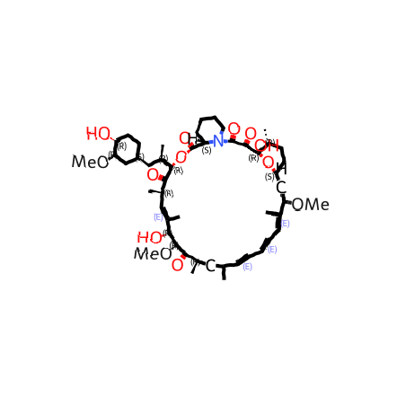 COC1C[C@@H]2CC[C@@H](C)[C@@](O)(O2)C(=O)C(=O)N2CCCC[C@H]2C(=O)O[C@H]([C@H](C)C[C@@H]2CC[C@@H](O)[C@H](OC)C2)C(=O)[C@H](C)/C=C(\C)[C@@H](O)[C@@H](OC)C(=O)[C@H](C)CC(C)/C=C/C=C/C=C/1C